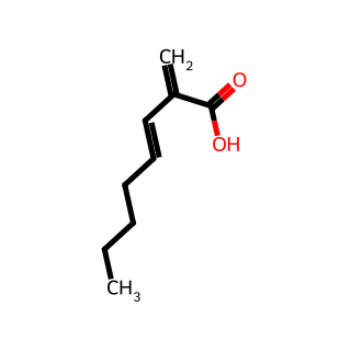 C=C(C=CCCCC)C(=O)O